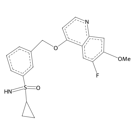 COc1cc2nccc(OCc3cccc(S(=N)(=O)C4CC4)c3)c2cc1F